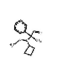 CON(C1CCC1)[C@@](C)([C]=O)c1ccccc1